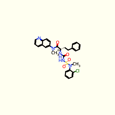 CN(C(=O)[C@H](CCc1ccccc1)NC(=O)NS(=O)(=O)N(C)c1ccccc1Cl)c1ccc2ncccc2c1